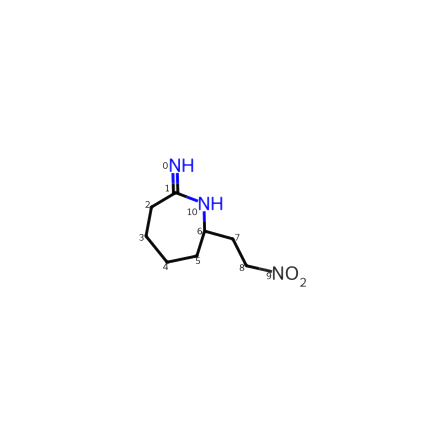 N=C1CCCCC(CC[N+](=O)[O-])N1